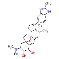 Cc1nc2cc(C3=CCC4[C@]3(C)C(C)C=C3C=C5[C@@H](O)[C@H](O)[C@@H](N(C)C)C[C@]56CC[C@@]34O6)ccc2[nH]1